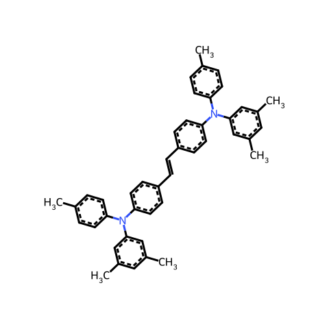 Cc1ccc(N(c2ccc(/C=C/c3ccc(N(c4ccc(C)cc4)c4cc(C)cc(C)c4)cc3)cc2)c2cc(C)cc(C)c2)cc1